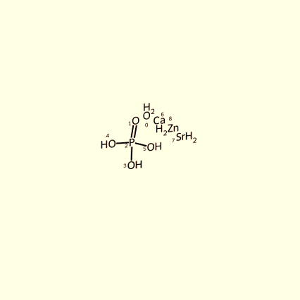 O.O=P(O)(O)O.[CaH2].[SrH2].[Zn]